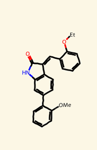 CCOc1ccccc1/C=C1/C(=O)Nc2cc(-c3ccccc3OC)ccc21